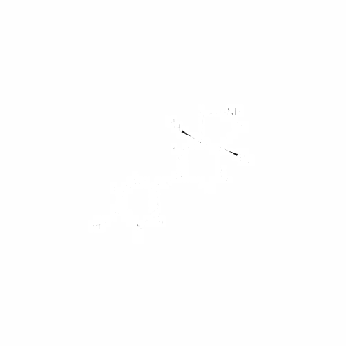 Brc1ccc(C2=C[C@@H]3CNC[C@@H]3CC2)cn1